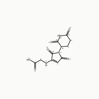 O=C(O)CNC1=CC(=O)N(C2CCC(=O)NC2=O)C1=O